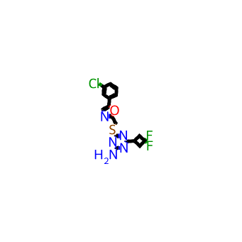 Nc1nc(SCc2ncc(-c3cccc(Cl)c3)o2)nc(C2CC(F)(F)C2)n1